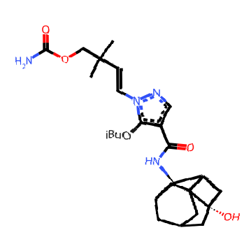 CC(C)COc1c(C(=O)N[C@@H]2C3CC4CC5(C3)C2C[C@@]5(O)C4)cnn1/C=C/C(C)(C)COC(N)=O